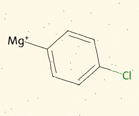 [Mg+][c]1ccc(Cl)cc1